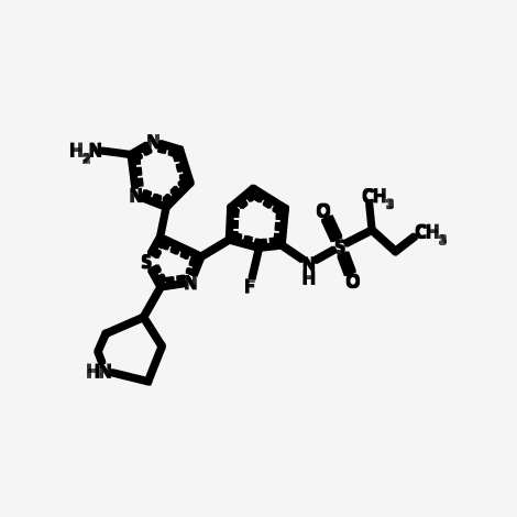 CCC(C)S(=O)(=O)Nc1cccc(-c2nc(C3CCNCC3)sc2-c2ccnc(N)n2)c1F